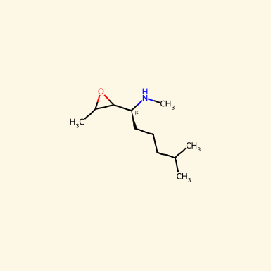 CN[C@@H](CCCC(C)C)C1OC1C